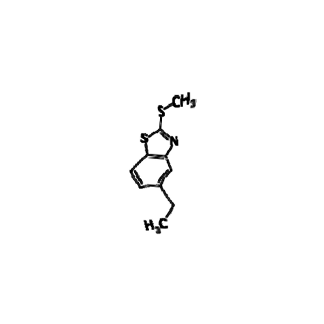 CCc1ccc2sc(SC)nc2c1